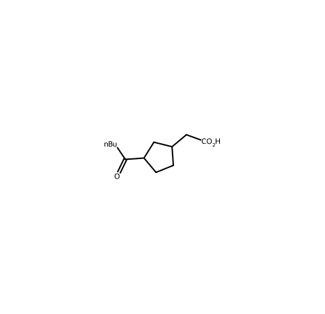 CCCCC(=O)C1CCC(CC(=O)O)C1